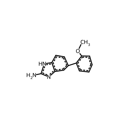 COc1ccccc1-c1ccc2[nH]c(N)nc2c1